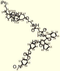 CC(C)CCC[C@H](C)[C@@H]1CC[C@@H]2[C@H]3CC=C4CC(OCCCNC(=O)CCC(=O)N[C@H](Cc5ccccc5)C(=O)C(CC(=O)Nc5ccc(COC(=O)Oc6ccc([N+](=O)[O-])cc6)cc5)c5ccccc5)CC[C@@]4(C)[C@@H]3CC[C@]21C